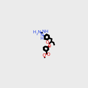 CCC(Cc1ccc(NC(=N)N)cc1)C(=O)Oc1cccc(C(=O)OC)c1